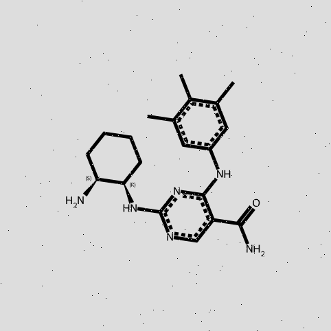 Cc1cc(Nc2nc(N[C@@H]3CCCC[C@@H]3N)ncc2C(N)=O)cc(C)c1C